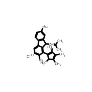 C[C](C)=[Zr+2][CH]1c2cc(C(C)(C)C)ccc2-c2ccc(C(C)(C)C)c(C3=C(C)C(C)=C(C)C3C)c21.[Cl-].[Cl-]